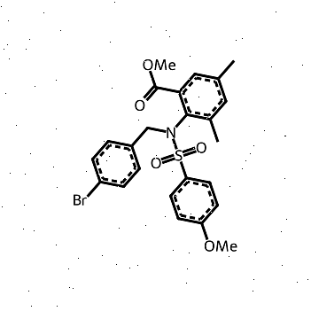 COC(=O)c1cc(C)cc(C)c1N(Cc1ccc(Br)cc1)S(=O)(=O)c1ccc(OC)cc1